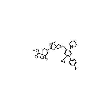 CC1(C(=O)O)CCN(C2=NOC3(C2)CN(Cc2cc(C4CC4)c(-c4ccc(F)cc4)cc2N2CCSCC2)C3)CC1